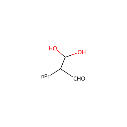 CCCC(C=O)C(O)O